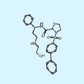 O=C(NC(CCNCCO)c1ccccc1)C1SCCN1S(=O)(=O)c1ccc(-c2ccccc2)cc1